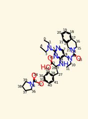 CCN(CC)c1ncc(N(CC)C(=O)N2CCc3ccccc3C2)c(N[C@@H](Cc2ccc(OC(=O)N3CCCC3)cc2)C(=O)O)n1